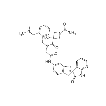 CNCc1ccccc1CN(CC(=O)Nc1ccc2c(c1)C[C@@]1(C2)C(=O)Nc2ncccc21)C(=O)C1(C)CN(C(C)=O)C1